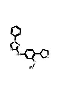 CC(C)Oc1cc(Nc2ncn(-c3ccccc3)n2)ccc1C1CCOC1